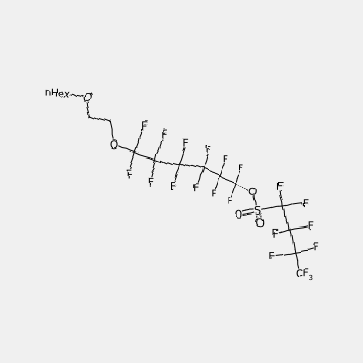 CCCCCCOCCOC(F)(F)C(F)(F)C(F)(F)C(F)(F)C(F)(F)C(F)(F)OS(=O)(=O)C(F)(F)C(F)(F)C(F)(F)C(F)(F)F